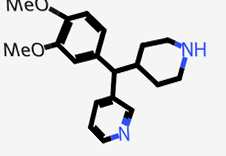 COc1ccc(C(c2cccnc2)C2CCNCC2)cc1OC